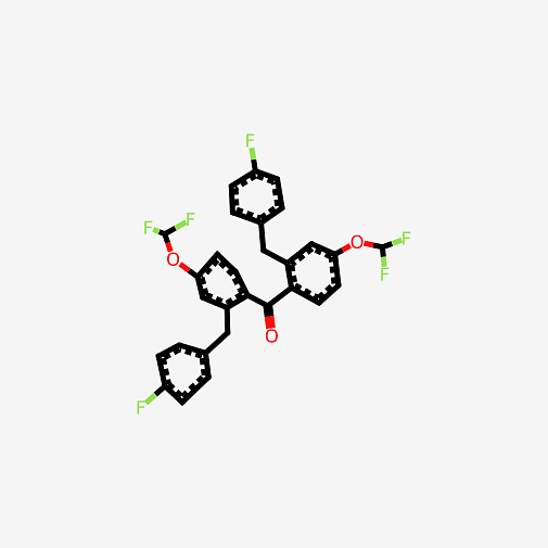 O=C(c1ccc(OC(F)F)cc1Cc1ccc(F)cc1)c1ccc(OC(F)F)cc1Cc1ccc(F)cc1